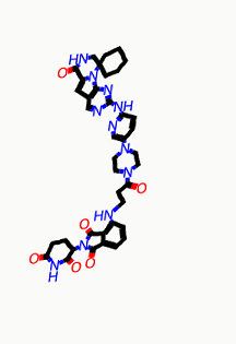 O=C1CCC(N2C(=O)c3cccc(NCCC(=O)N4CCN(c5ccc(Nc6ncc7cc8n(c7n6)C6(CCCCC6)CNC8=O)nc5)CC4)c3C2=O)C(=O)N1